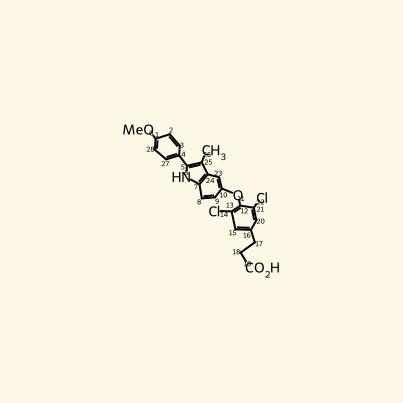 COc1ccc(-c2[nH]c3ccc(Oc4c(Cl)cc(CCC(=O)O)cc4Cl)cc3c2C)cc1